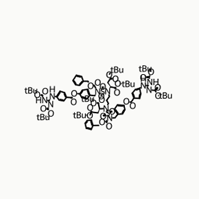 CC(C)(C)OC(=O)C[C@@H](C(=O)OC(C)(C)C)N(CCCN([C@@H](CC(=O)OC(C)(C)C)C(=O)OC(C)(C)C)S(=O)(=O)N(Cc1ccc(OC(=O)c2ccc(NC(=NC(=O)OC(C)(C)C)NC(=O)OC(C)(C)C)cc2)cc1)C(=O)OCc1ccccc1)S(=O)(=O)N(Cc1ccc(OC(=O)c2ccc(NC(=NC(=O)OC(C)(C)C)NC(=O)OC(C)(C)C)cc2)cc1)C(=O)OCc1ccccc1